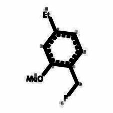 CCc1ccc(CF)c(OC)c1